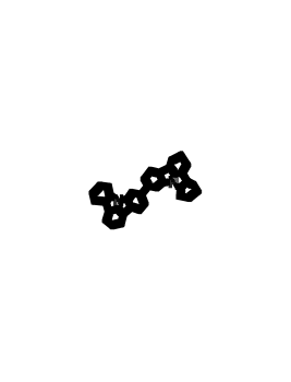 c1ccc2c(c1)c1cccc3c4ccc(-c5ccc6c7cccc8c9ccccc9n(c6c5)c87)cc4n2c13